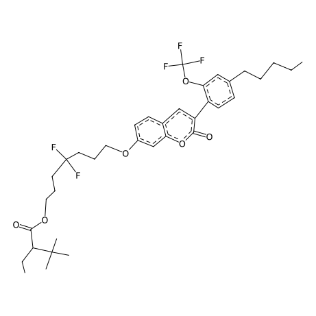 CCCCCc1ccc(-c2cc3ccc(OCCCC(F)(F)CCCOC(=O)C(CC)C(C)(C)C)cc3oc2=O)c(OC(F)(F)F)c1